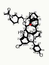 CC(=O)N1CCCC(COc2ncccc2NC(=O)c2[nH]c3cc(Cl)cc4c3c2-c2c(-c3ccccc3)ncn2C4c2ccc(Cl)cc2)C1